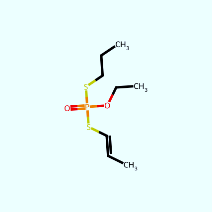 CC=CSP(=O)(OCC)SCCC